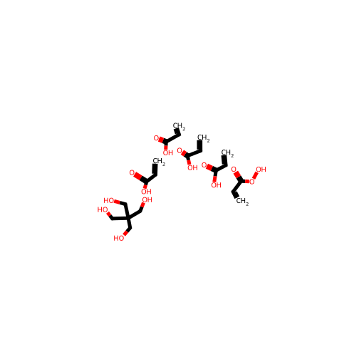 C=CC(=O)O.C=CC(=O)O.C=CC(=O)O.C=CC(=O)O.C=CC(=O)OO.OCC(CO)(CO)CO